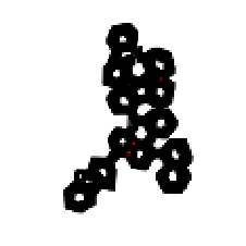 c1ccc(-c2cccc3ccccc23)c(-c2ccccc2N(c2ccc(-c3ccc4c(c3)oc3ccccc34)cc2)c2cccc3c2-c2ccccc2C32c3ccccc3-n3c4ccccc4c4cccc2c43)c1